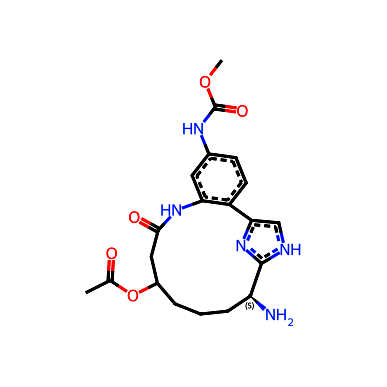 COC(=O)Nc1ccc2c(c1)NC(=O)CC(OC(C)=O)CCC[C@H](N)c1nc-2c[nH]1